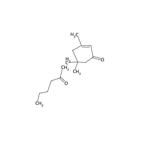 CC1=CC(=O)CC(C)(C)C1.CCCCC(C)=O